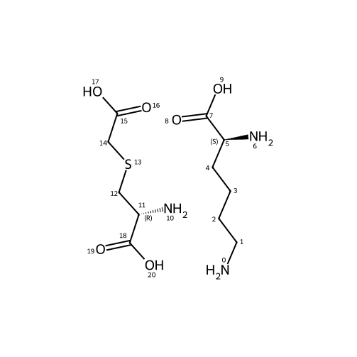 NCCCC[C@H](N)C(=O)O.N[C@@H](CSCC(=O)O)C(=O)O